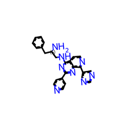 N[C@H](CNc1nc(-c2ccncc2)nc2c(-c3cncnc3)nccc12)Cc1ccccc1